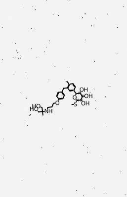 CS[C@H]1OC(c2ccc(C)c(Cc3ccc(OCCCNC(C)(CO)CO)cc3)c2)[C@H](O)[C@@H](O)[C@@H]1O